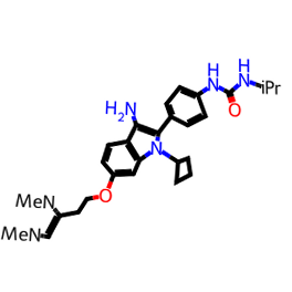 CN/C=C(/CCOc1ccc2c(N)c(-c3ccc(NC(=O)NC(C)C)cc3)n(C3CCC3)c2c1)NC